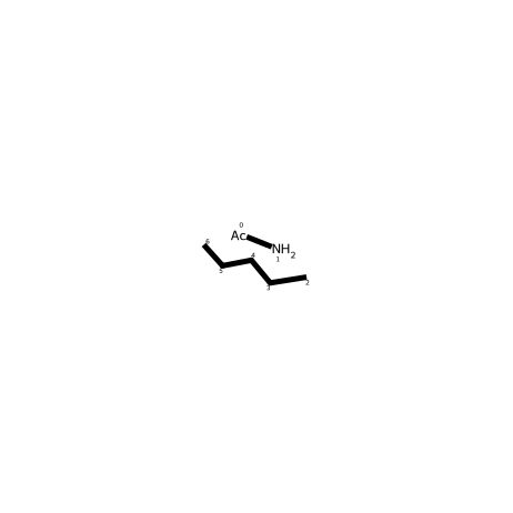 CC(N)=O.CCCCC